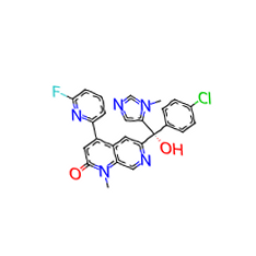 Cn1cncc1[C@@](O)(c1ccc(Cl)cc1)c1cc2c(-c3cccc(F)n3)cc(=O)n(C)c2cn1